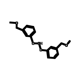 COCc1cccc(OBOc2cccc(COC)c2)c1